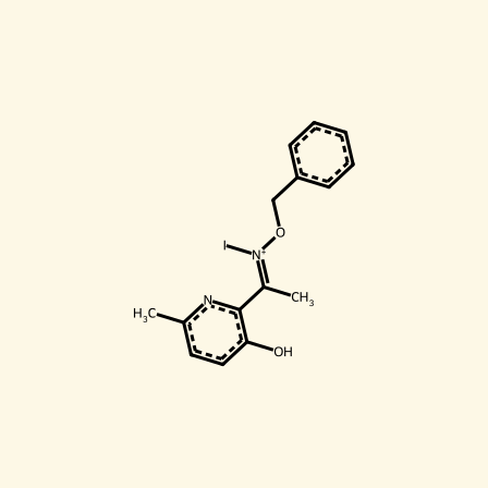 CC(c1nc(C)ccc1O)=[N+](I)OCc1ccccc1